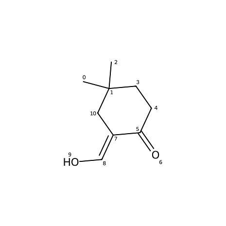 CC1(C)CCC(=O)C(=CO)C1